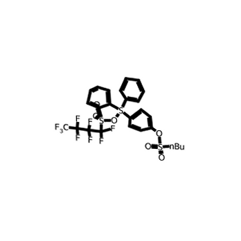 CCCCS(=O)(=O)Oc1ccc(S(OS(=O)(=O)C(F)(F)C(F)(F)C(F)(F)C(F)(F)F)(c2ccccc2)c2ccccc2)cc1